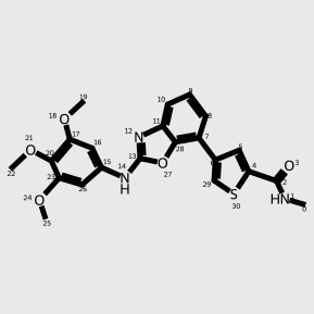 CNC(=O)c1cc(-c2cccc3nc(Nc4cc(OC)c(OC)c(OC)c4)oc23)cs1